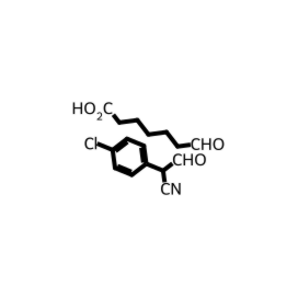 N#CC(C=O)c1ccc(Cl)cc1.O=CCCCCCC(=O)O